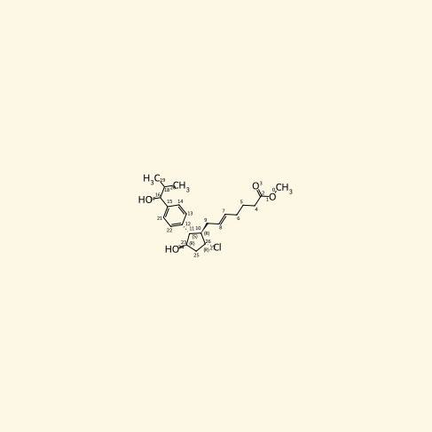 COC(=O)CCCC=CC[C@@H]1[C@@H](c2ccc(C(O)C(C)C)cc2)[C@H](O)C[C@H]1Cl